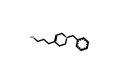 OCCCC1=CCN(Cc2ccccc2)CC1